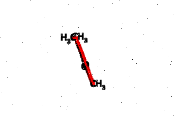 CCCCCCCCC=CCCCCCCCCCC(=O)OCCCCCCCCCCCCCCCCCCCCCCCCCCCCC(C)CC